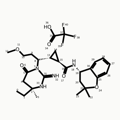 CC[C@@]1(C)CC(=O)N(C(CCOC)[C@@H]2C[C@H]2C(=O)N[C@H]2CC(C)(C)Oc3ccccc32)C(=N)N1.O=C(O)C(F)(F)F